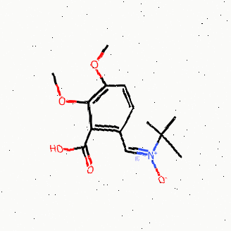 COc1ccc(/C=[N+](/[O-])C(C)(C)C)c(C(=O)O)c1OC